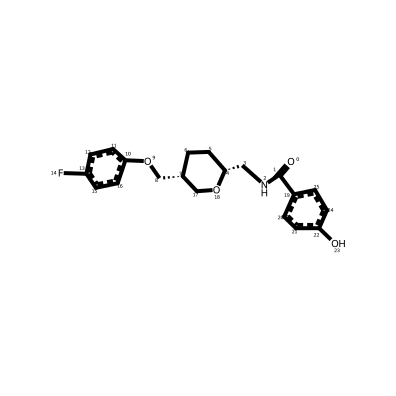 O=C(NC[C@H]1CC[C@@H](COc2ccc(F)cc2)CO1)c1ccc(O)cc1